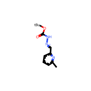 Cc1cccc(/C=N/NC(=O)OC(C)(C)C)n1